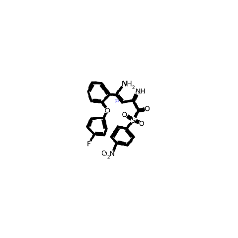 N=C(/C=C(\N)c1ccccc1Oc1ccc(F)cc1)C(=O)S(=O)(=O)c1ccc([N+](=O)[O-])cc1